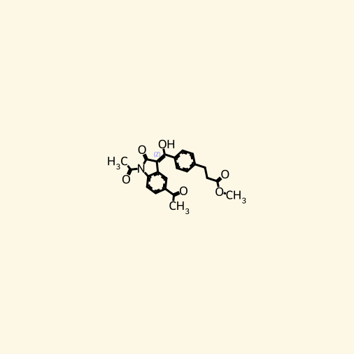 COC(=O)CCc1ccc(/C(O)=C2/C(=O)N(C(C)=O)c3ccc(C(C)=O)cc32)cc1